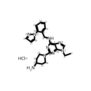 CCn1cnc2c(NCc3ccccc3-n3cccn3)nc(N3CCC(N)CC3)nc21.Cl